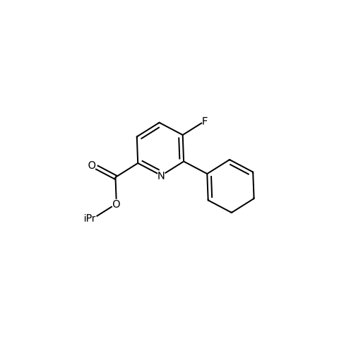 CC(C)OC(=O)c1ccc(F)c(C2=CCCC=C2)n1